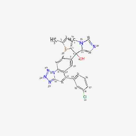 Cc1ccc(C(O)(c2ccc3c(c2)c(-c2cccc(Cl)c2)cc2nnnn23)c2cncn2C)s1